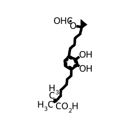 CC(C)(CCCCCc1ccc(CCCCC2(OC=O)CC2)c(O)c1O)C(=O)O